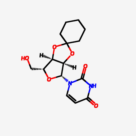 O=c1ccn([C@@H]2O[C@H](CO)[C@H]3OC4(CCCCC4)O[C@H]32)c(=O)[nH]1